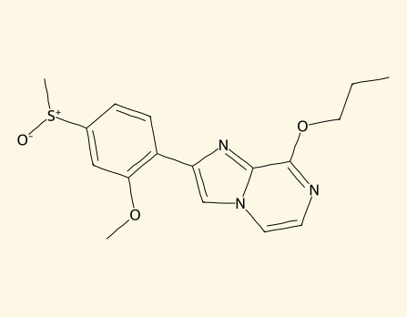 CCCOc1nccn2cc(-c3ccc([S+](C)[O-])cc3OC)nc12